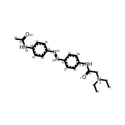 CCN(CC)CC(=O)Nc1ccc(/N=N/c2ccc(NC(C)=O)cc2)cc1